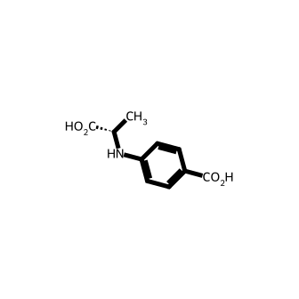 C[C@H](Nc1ccc(C(=O)O)cc1)C(=O)O